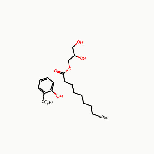 CCCCCCCCCCCCCCCCCC(=O)OCC(O)CO.CCOC(=O)c1ccccc1O